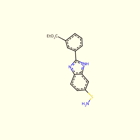 CCOC(=O)c1cccc(-c2nc3ccc(SN)cc3[nH]2)c1